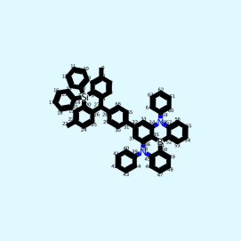 Cc1ccc2c(c1)[Si](c1ccccc1)(c1ccccc1)c1cc(C)ccc1C2c1ccc(-c2cc3c4c(c2)N(c2ccccc2)c2ccccc2B4c2ccccc2N3c2ccccc2)cc1